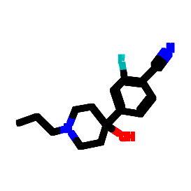 CCCN1CCC(O)(c2ccc(C#N)c(F)c2)CC1